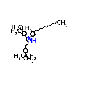 CCCCCCCCCCCCc1ccc(N2NC(C=Cc3ccc(C(C)(C)C)cc3)=CC2c2ccc(C(C)(C)C)cc2)cc1